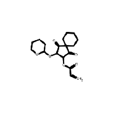 C=CC(=O)OC1C(=O)C2(CCCCC2)C(=O)C1OC1CCCCO1